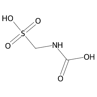 O=C(O)NCS(=O)(=O)O